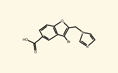 O=C(O)c1ccc2oc(Cn3ccnc3)c(Br)c2c1